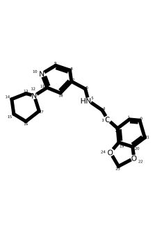 c1cc(CCNCc2ccnc(N3CCCCC3)c2)c2c(c1)OCO2